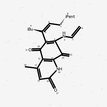 C=CNC1=C(/C(=C\C[C@@H](C)CCC)[C@H](C)CC)C(=O)c2c(C)cc(=O)[nH]c2C1=C